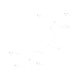 CCC[Si](C)(CC[Si](OC)(OC)OC)CC[Si](OC)(OC)OC